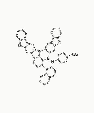 CC(C)(C)c1ccc(N2B3c4cc5oc6ccccc6c5cc4-n4c5cc6c(cc5c5ccc(c3c54)-c3c2ccc2ccccc32)oc2ccccc26)cc1